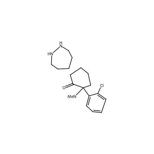 C1CCNNCC1.CNC1(c2ccccc2Cl)CCCCC1=O